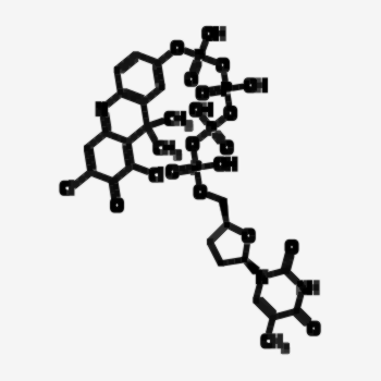 Cc1cn([C@H]2CC[C@@H](COP(=O)(O)OP(=O)(O)OP(=O)(O)OP(=O)(O)Oc3ccc4c(c3)C(C)(C)C3=C(Cl)C(=O)C(Cl)=CC3=N4)O2)c(=O)[nH]c1=O